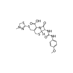 COc1ccc(NC(=O)NC2C(=O)N3C(C(=O)O)=C(CSC4=NN(C)CS4)CS[C@@H]23)cc1